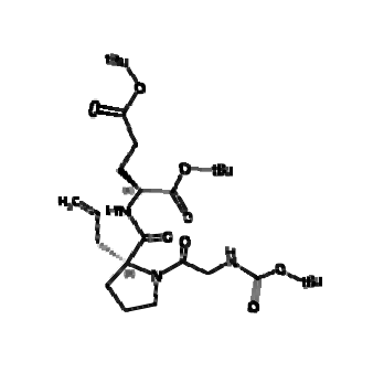 C=CC[C@@]1(C(=O)N[C@@H](CCC(=O)OC(C)(C)C)C(=O)OC(C)(C)C)CCCN1C(=O)CNC(=O)OC(C)(C)C